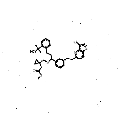 COC(=O)CC1(CSC(CCc2ccccc2C(C)(C)O)c2cccc(CCc3ccc4scc(Cl)c4n3)c2)CC1